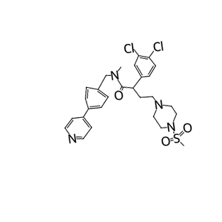 CN(Cc1ccc(-c2ccncc2)cc1)C(=O)C(CCN1CCN(S(C)(=O)=O)CC1)c1ccc(Cl)c(Cl)c1